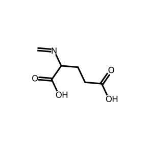 C=NC(CCC(=O)O)C(=O)O